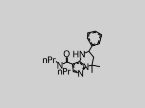 CCCN(CCC)C(=O)c1cnn2c1NC(c1ccccc1)CC2(C)C